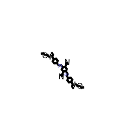 C=COCCN(CC)c1ccc(/C=C/c2cc(C#N)c(/C=C/c3ccc(N(CC)CCOC=C)cc3)cc2C#N)cc1